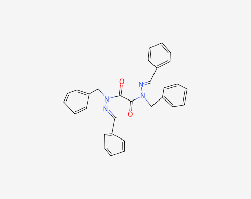 O=C(C(=O)N(Cc1ccccc1)N=Cc1ccccc1)N(Cc1ccccc1)N=Cc1ccccc1